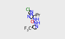 CC(C)c1c(NC(=O)Nc2cc(C(F)(F)F)ccn2)cnc2cc(Cl)nn12